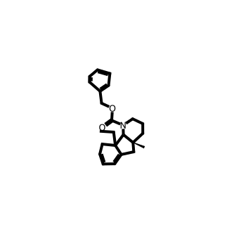 CCC12CC=CC=C1C[C@@]1(C)CCCN(C(=O)OCc3ccccc3)C21